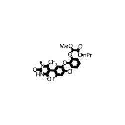 CCCOC(=O)C(OC)Oc1ccccc1Oc1cc(-c2c(C(F)(F)F)n(C)c(=O)[nH]c2=O)c(F)cc1Cl